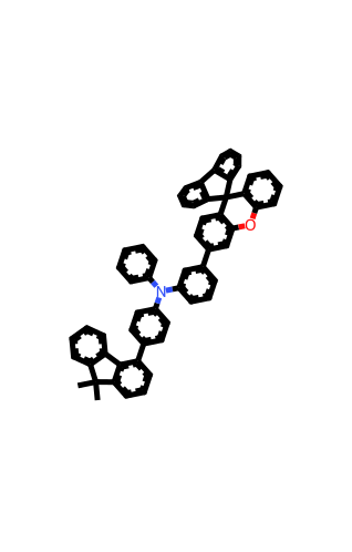 CC1(C)c2ccccc2-c2c(-c3ccc(N(c4ccccc4)c4cccc(-c5ccc6c(c5)Oc5ccccc5C65c6ccccc6-c6ccccc65)c4)cc3)cccc21